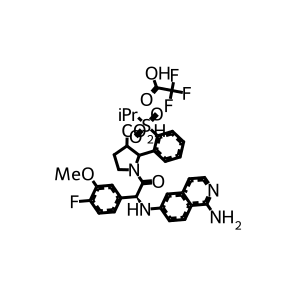 COc1cc([C@H](Nc2ccc3c(N)nccc3c2)C(=O)N2CCC(C(=O)O)C2c2ccccc2S(=O)(=O)C(C)C)ccc1F.O=C(O)C(F)(F)F